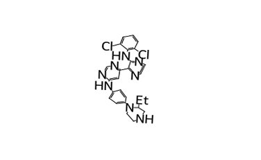 CCC1CNCCN1c1ccc(Nc2cc(-c3nccnc3Nc3c(Cl)cccc3Cl)ncn2)cc1